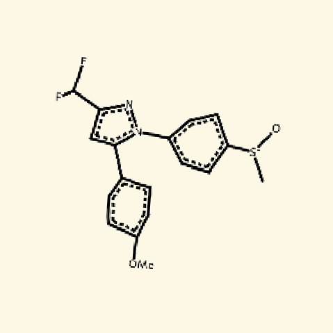 COc1ccc(-c2cc(C(F)F)nn2-c2ccc([S+](C)[O-])cc2)cc1